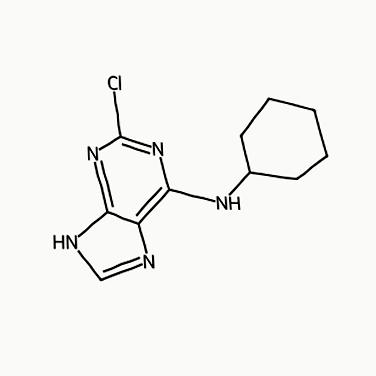 Clc1nc(NC2CCCCC2)c2nc[nH]c2n1